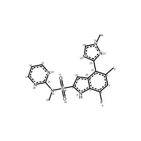 Cc1cc(F)c2[nH]c(S(=O)(=O)N(C)c3ncccn3)cc2c1-c1ncn(C)n1